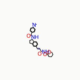 CN(C)c1ccc(C(=O)NC2CCc3cc(/C=C/C(=O)NO[C@H]4CCCCO4)ccc32)cc1